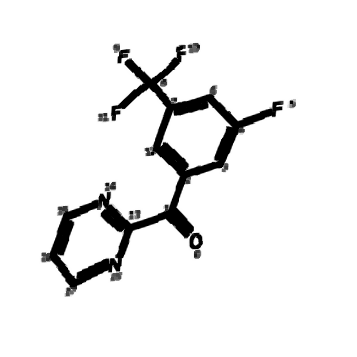 O=C(c1cc(F)cc(C(F)(F)F)c1)c1ncccn1